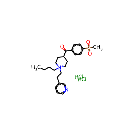 CCCC[N+]1(CCc2cccnc2)CCC(C(=O)c2ccc(S(C)(=O)=O)cc2)CC1.Cl.Cl